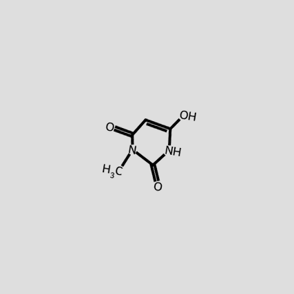 Cn1c(=O)cc(O)[nH]c1=O